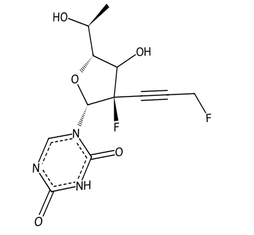 C[C@H](O)[C@H]1O[C@@H](n2cnc(=O)[nH]c2=O)[C@@](F)(C#CCF)C1O